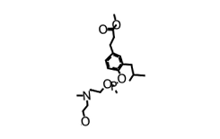 COCCN(C)CCOP(C)Oc1ccc(CCC(=O)OC)cc1CC(C)C